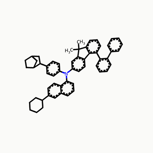 CC1(C)c2cc(N(c3ccc(C4CC5CCC4C5)cc3)c3cccc4cc(C5CCCCC5)ccc34)ccc2-c2c(-c3ccccc3-c3ccccc3)cccc21